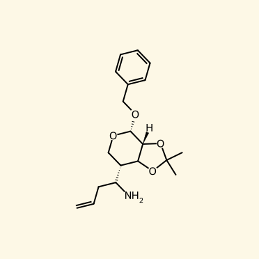 C=CCC(N)[C@@H]1CO[C@H](OCc2ccccc2)[C@@H]2OC(C)(C)OC12